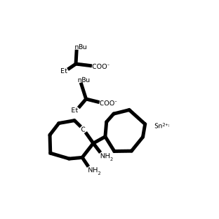 CCCCC(CC)C(=O)[O-].CCCCC(CC)C(=O)[O-].NC1CCCCCCC1(N)C1CCCCCCC1.[Sn+2]